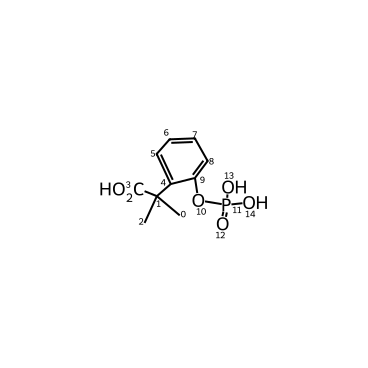 CC(C)(C(=O)O)c1ccccc1OP(=O)(O)O